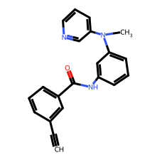 C#Cc1cccc(C(=O)Nc2cccc(N(C)c3cccnc3)c2)c1